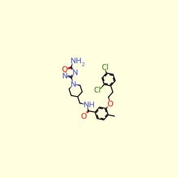 Cc1ccc(C(=O)NCC2CCN(c3noc(N)n3)CC2)cc1OCCc1ccc(Cl)cc1Cl